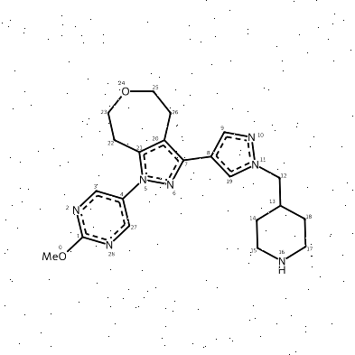 COc1ncc(-n2nc(-c3cnn(CC4CCNCC4)c3)c3c2CCOCC3)cn1